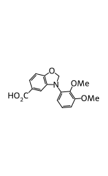 COc1cccc(N2COc3ccc(C(=O)O)cc32)c1OC